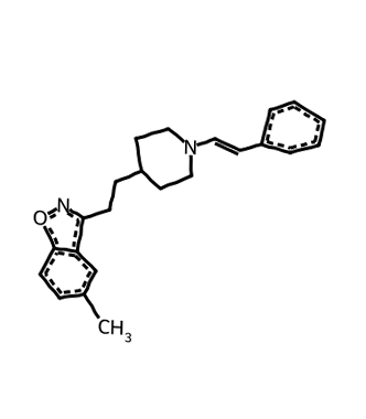 Cc1ccc2onc(CCC3CCN(C=Cc4ccccc4)CC3)c2c1